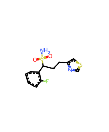 NS(=O)(=O)C(CCc1cscn1)c1ccccc1F